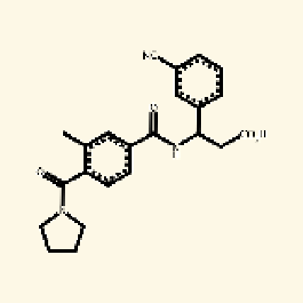 Cc1cc(C(=O)NC(CC(=O)O)c2cccc(C#N)c2)ccc1C(=O)N1CCCC1